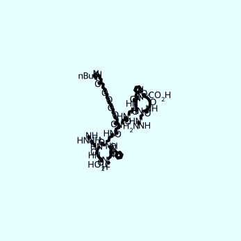 CCCCc1cn(CC(=O)CCCOCCOCCOCCOCCC(=O)N(CCC(=O)NCCCC[C@@H]2NC(=O)N(Cc3ccccc3)NC[C@H](CC(=O)O)NC(=O)CNC(=O)[C@H](CCCNC(=N)N)NC2=O)CCC(=O)NCCCC[C@@H]2NC(=O)N(Cc3ccccc3)NC(=O)[C@H](CC(=O)O)CC(=O)CNC(=O)[C@H](CCCNC(=N)N)NC2=O)nn1